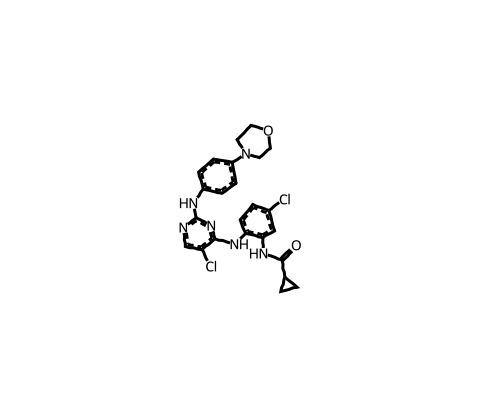 O=C(Nc1cc(Cl)ccc1Nc1nc(Nc2ccc(N3CCOCC3)cc2)ncc1Cl)C1CC1